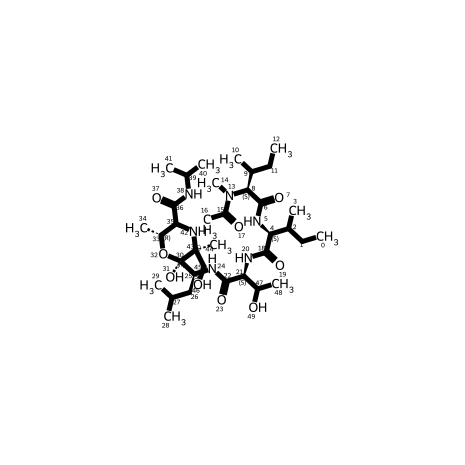 CCC(C)[C@H](NC(=O)[C@H](C(C)CC)N(C)C(C)=O)C(=O)N[C@H](C(=O)N[C@@H](CC(C)C)[C@@]1(O)O[C@H](C)C(C(=O)NC(C)C)N[C@@]1(C)CO)C(C)O